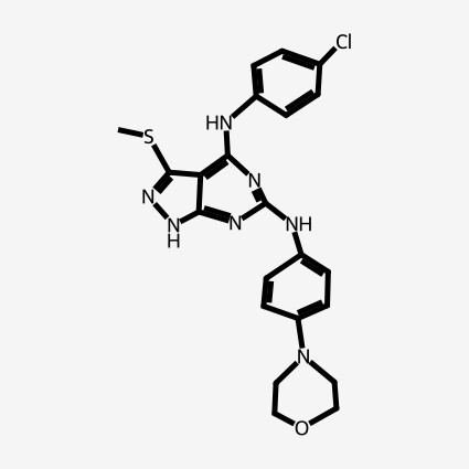 CSc1n[nH]c2nc(Nc3ccc(N4CCOCC4)cc3)nc(Nc3ccc(Cl)cc3)c12